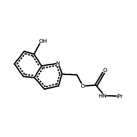 CC(C)NC(=O)OCc1ccc2cccc(O)c2n1